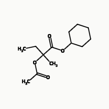 CCC(C)(OC(C)=O)C(=O)OC1CCCCC1